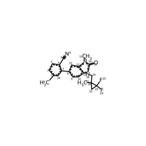 Cc1ccc(C#N)c(-c2ccc3c(c2)n(C)c(=O)n3CC2(C)CC2(F)F)c1